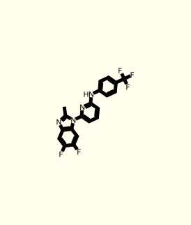 Cc1nc2cc(F)c(F)cc2n1-c1cccc(Nc2ccc(C(F)(F)F)cc2)n1